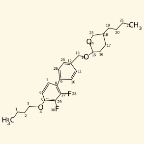 CCCCOc1ccc(-c2ccc(COC3CCC(CCCC)CO3)cc2)c(F)c1F